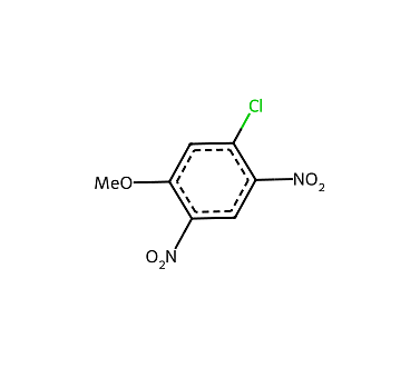 COc1cc(Cl)c([N+](=O)[O-])cc1[N+](=O)[O-]